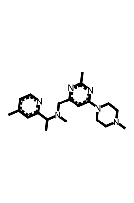 Cc1ccnc(C(C)N(C)Cc2cc(N3CCN(C)CC3)nc(C)n2)c1